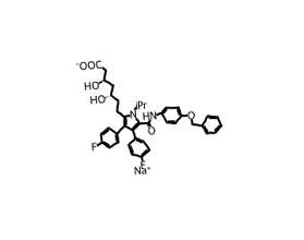 CC(C)n1c(CC[C@H](O)C[C@@H](O)CC(=O)[O-])c(-c2ccc(F)cc2)c(-c2ccc(F)cc2)c1C(=O)Nc1ccc(OCc2ccccc2)cc1.[Na+]